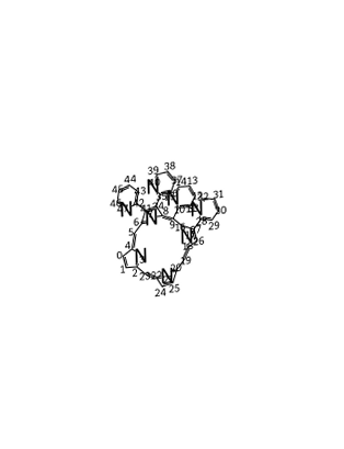 C1=CC2=NC1=CC1=NC(=C(c3ccccn3)C3=NC(=CC4=NC(=C2)C=C4)C=C3c2ccccn2)C(c2ccccn2)=C1c1ccccn1